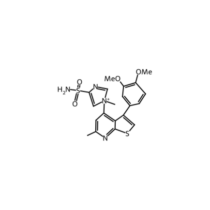 COc1ccc(-c2csc3nc(C)cc([N+]4(C)C=NC(S(N)(=O)=O)=C4)c23)cc1OC